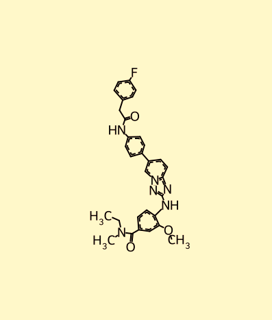 CCN(C)C(=O)c1ccc(Nc2nc3ccc(-c4ccc(NC(=O)Cc5ccc(F)cc5)cc4)cn3n2)c(OC)c1